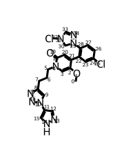 COc1cn(CCCc2cn(-c3cn[nH]c3)nn2)c(=O)cc1-c1cc(Cl)ccc1N1CN(Cl)C=N1